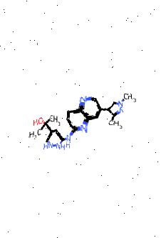 CC1=NN(C)CC1c1cnc2ccc(NC3=CC(C(C)(C)O)=CNN3)nc2c1